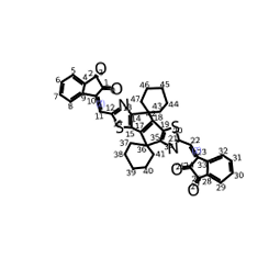 O=C1C(=O)c2ccccc2/C1=C/c1nc2c(s1)C1=C(c3sc(/C=C4\C(=O)C(=O)c5ccccc54)nc3C13CCCCC3)C21CCCCC1